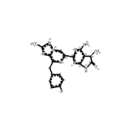 Cc1nc2c(Cc3ccc(F)cc3)nc(-c3nc(N)c4c(n3)NC(=O)[C@@H]4C)cn2n1